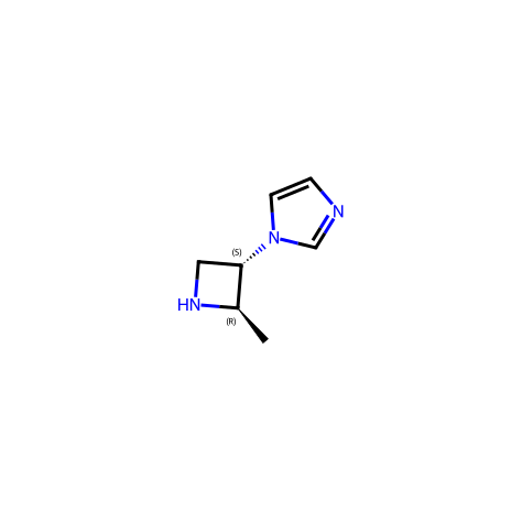 C[C@H]1NC[C@@H]1n1ccnc1